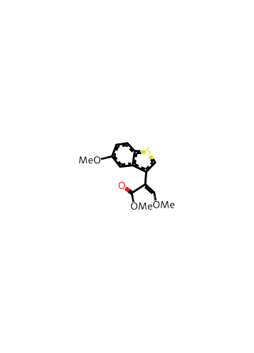 COC=C(C(=O)OC)c1csc2ccc(OC)cc12